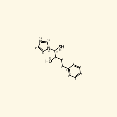 OC(CCc1ccccc1)C(S)n1ccnc1